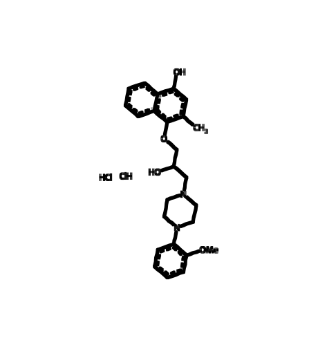 COc1ccccc1N1CCN(CC(O)COc2c(C)cc(O)c3ccccc23)CC1.Cl.Cl